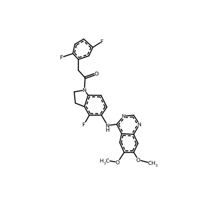 COc1cc2ncnc(Nc3ccc4c(c3F)CCN4C(=O)Cc3cc(F)ccc3F)c2cc1OC